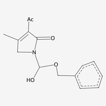 CC(=O)C1=C(C)CN(C(O)OCc2ccccc2)C1=O